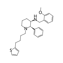 COc1ccccc1CN[C@@H]1CCCN(CCCCc2cccs2)[C@@H]1c1ccccc1